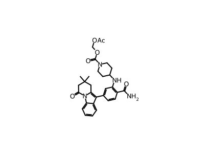 CC(=O)OCOC(=O)N1CCC(Nc2cc(-c3c4n(c5ccccc35)C(=O)CC(C)(C)C4)ccc2C(N)=O)CC1